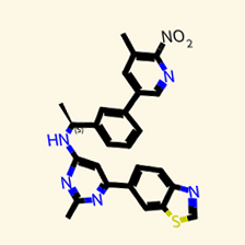 Cc1nc(N[C@@H](C)c2cccc(-c3cnc([N+](=O)[O-])c(C)c3)c2)cc(-c2ccc3ncsc3c2)n1